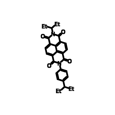 CCC(CC)c1ccc(N2C(=O)c3ccc4c5c(ccc(c35)C2=O)C(=O)N(C(CC)CC)C4=O)cc1